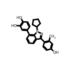 Cc1cc(O)ccc1-c1nn(C2CCCC2)c2c(-c3ccc(O)c(O)c3)cccc12